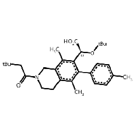 Cc1ccc(-c2c(C)c3c(c(C)c2[C@H](OC(C)(C)C)C(=O)O)CN(C(=O)CC(C)(C)C)CC3)cc1